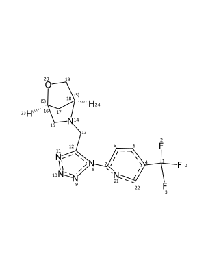 FC(F)(F)c1ccc(-n2nnnc2CN2C[C@@H]3C[C@H]2CO3)nc1